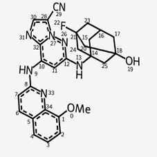 COc1cccc2ccc(Nc3cc(NC45CC6CC(O)(CC(F)(C6)C4)C5)nn4c(C#N)cnc34)nc12